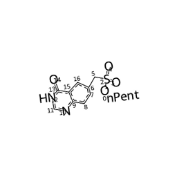 CCCCCOS(=O)(=O)Cc1ccc2nc[nH]c(=O)c2c1